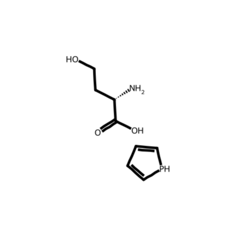 N[C@@H](CCO)C(=O)O.c1cc[pH]c1